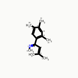 C/N=C(\C=C(C)C)c1cc(C)c(C)cc1C